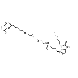 CCCCCCN1C(=O)NC2CS[C@@H](CCCCC(=O)NCCOCCOCCOCCOCCC(=O)ON3C(=O)CCC3=O)C21